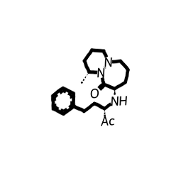 CC(=O)[C@H](CCc1ccccc1)N[C@H]1CCCN2CCC[C@@H](C)N2C1=O